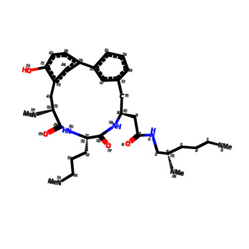 CNCCC[C@@H](CNC(=O)C[C@@H]1Cc2cccc(c2)-c2ccc(O)c(c2)C[C@H](NC)C(=O)N[C@@H](CCCNC)C(=O)N1)NC